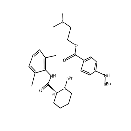 CCCCNc1ccc(C(=O)OCCN(C)C)cc1.CCCN1CCCC[C@H]1C(=O)Nc1c(C)cccc1C